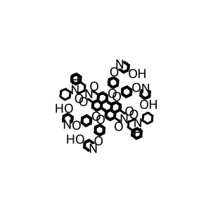 O=C(NC1CCCCC1)C(Cc1ccccc1)N1C(=O)c2cc(Oc3ccc(Oc4cc(O)ccn4)cc3)c3c4c(Oc5ccc(Oc6cc(O)ccn6)cc5)cc5c6c(cc(Oc7ccc(Oc8cc(O)ccn8)cc7)c(c7c(Oc8ccc(Oc9cc(O)ccn9)cc8)cc(c2c37)C1=O)c64)C(=O)N(C(Cc1ccccc1)C(=O)NC1CCCCC1)C5=O